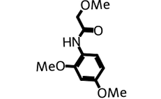 COCC(=O)Nc1ccc(OC)cc1OC